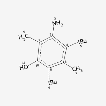 Cc1c(N)c(C(C)(C)C)c(C)c(C(C)(C)C)c1O